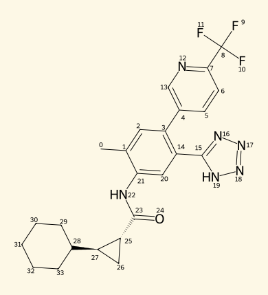 Cc1cc(-c2ccc(C(F)(F)F)nc2)c(-c2nnn[nH]2)cc1NC(=O)[C@@H]1C[C@H]1C1CCCCC1